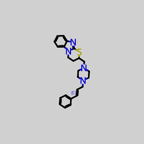 C(=C\c1ccccc1)/CN1CCN(CC2CCn3c(nc4ccccc43)S2)CC1